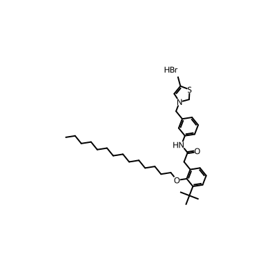 Br.CCCCCCCCCCCCCCOc1c(CC(=O)Nc2cccc(CN3C=C(C)SC3)c2)cccc1C(C)(C)C